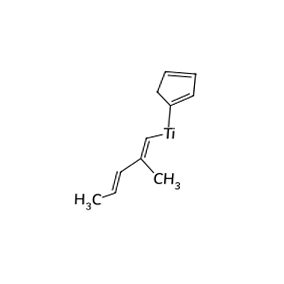 C/C=C/C(C)=[CH]/[Ti][C]1=CC=CC1